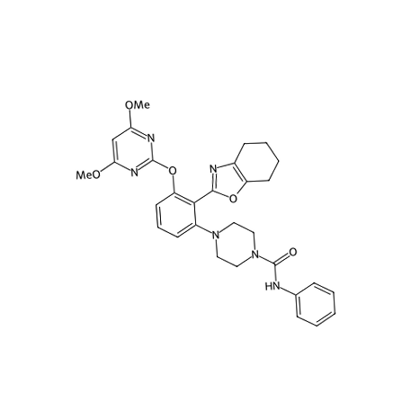 COc1cc(OC)nc(Oc2cccc(N3CCN(C(=O)Nc4ccccc4)CC3)c2-c2nc3c(o2)CCCC3)n1